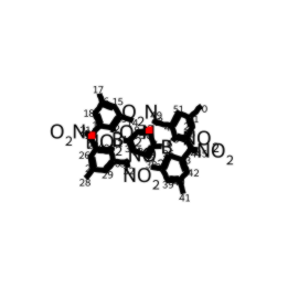 Cc1cc(C)c(B(c2ccc(B(c3c(C)cc(C)cc3C([N+](=O)[O-])[N+](=O)[O-])c3c(C)cc(C)cc3C([N+](=O)[O-])[N+](=O)[O-])cc2)c2c(C)cc(C)cc2C([N+](=O)[O-])[N+](=O)[O-])c(C([N+](=O)[O-])[N+](=O)[O-])c1